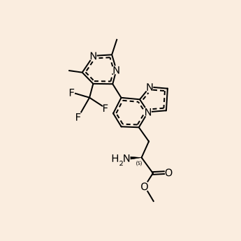 COC(=O)[C@@H](N)Cc1ccc(-c2nc(C)nc(C)c2C(F)(F)F)c2nccn12